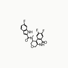 CN(C(=O)c1cc2ccc(F)cc2[nH]1)C1COCc2[nH]c(=O)c3cc(F)c(F)cc3c21